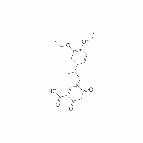 CCOc1ccc(C(C)CN2C=C(C(=O)O)C(=O)CC2=O)cc1OCC